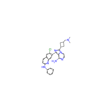 CN(C)CC1CC(c2nc(-c3cc4nc(Nc5ccccc5)ccc4cc3Cl)c3c(N)nccn23)C1